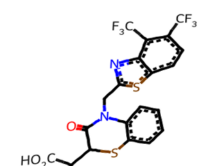 O=C(O)CC1Sc2ccccc2N(Cc2nc3c(C(F)(F)F)c(C(F)(F)F)ccc3s2)C1=O